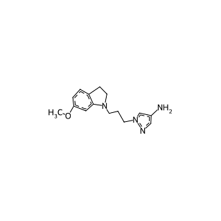 COc1ccc2c(c1)N(CCCn1cc(N)cn1)CC2